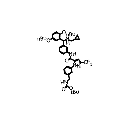 CCCCOc1ccc(OCCCC)c(C(NCC2CC2)c2cccc(NC(=O)c3cc(C(F)(F)F)nn3-c3cccc(CNC(=O)OC(C)(C)C)c3)c2)c1